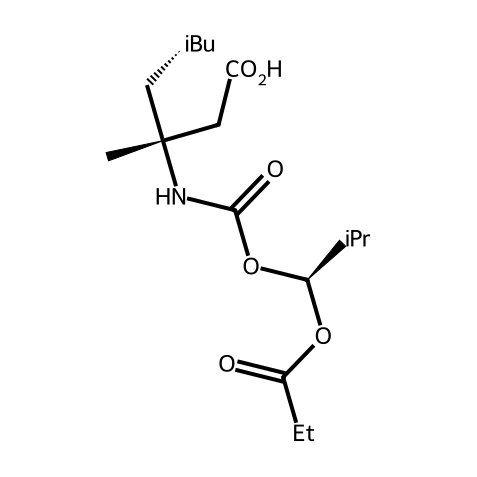 CCC(=O)O[C@@H](OC(=O)N[C@@](C)(CC(=O)O)C[C@@H](C)CC)C(C)C